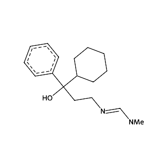 CNC=NCCC(O)(c1ccccc1)C1CCCCC1